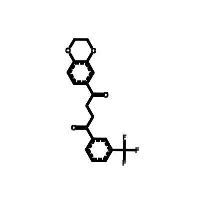 O=C(CCC(=O)c1ccc2c(c1)OCCO2)c1cccc(C(F)(F)F)c1